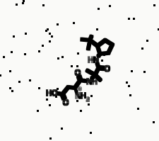 CC(C)(NC(=O)[C@@H](N)CC(=O)O)C(=O)NC1CCCC1C(C)(C)C